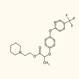 CC(Oc1ccc(Oc2ccc(C(F)(F)F)cn2)cc1)C(=O)OCCN1CCCCC1